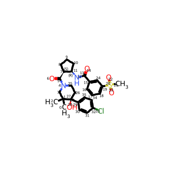 CC1(C)CN(C(=O)[C@H]2CCC[C@H]2NC(=O)c2cccc(S(C)(=O)=O)c2)CC[C@]1(O)c1ccc(Cl)cc1